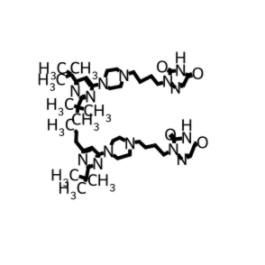 CC(C)(C)c1cc(N2CCN(CCCCn3ncc(=O)[nH]c3=O)CC2)nc(C(C)(C)C)n1.CCCc1cc(N2CCN(CCCCn3ncc(=O)[nH]c3=O)CC2)nc(C(C)(C)C)n1